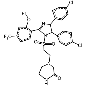 CCOc1cc(C(F)(F)F)ccc1C1=NC(c2ccc(Cl)cc2)C(c2ccc(Cl)cc2)N1S(=O)(=O)CCN1CCNC(=O)C1